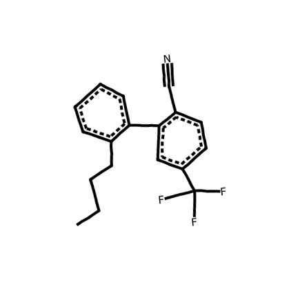 CCCCc1ccccc1-c1cc(C(F)(F)F)ccc1C#N